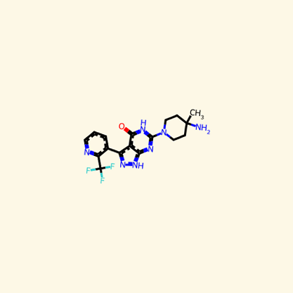 CC1(N)CCN(c2nc3[nH]nc(-c4cccnc4C(F)(F)F)c3c(=O)[nH]2)CC1